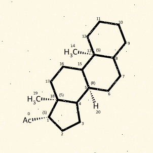 CC(=O)[C@H]1CCC2[C@@H]3CCC4CCCC[C@]4(C)C3CC[C@@]21C